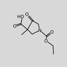 CCOC(=O)N1CC(=O)C(C)(C(=O)O)C1